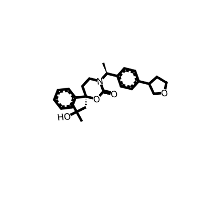 C[C@@H](c1ccc(C2CCOC2)cc1)N1CC[C@](CC(C)(C)O)(c2ccccc2)OC1=O